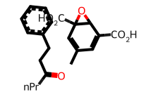 CC1=CC2(C(=O)O)OC2C(C(=O)O)=C1.CCCC(=O)CCc1ccccc1